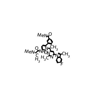 CNC(=O)c1ccc(C)c(-c2ccc(NC(=O)[C@H](C)NC)c(=O)n2Cc2cc(-n3cc(C)c4cc(F)ccc43)nc(C)n2)c1